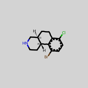 Clc1ccc(Br)c2c1CC[C@@H]1CNCC[C@@H]21